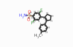 Cc1ccc(C2=C(c3cc(F)c(S(N)(=O)=O)cc3F)CCC2)cc1